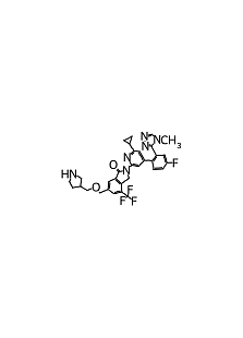 Cn1cnnc1-c1cc(F)ccc1-c1cc(C2CC2)nc(N2Cc3c(cc(COCC4CCNC4)cc3C(F)(F)F)C2=O)c1